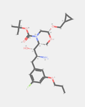 CCCOc1cc(F)cc(C[C@H](N)[C@H](O)[C@H]2CO[C@@H](OCC3CC3)CN2C(=O)OC(C)(C)C)c1